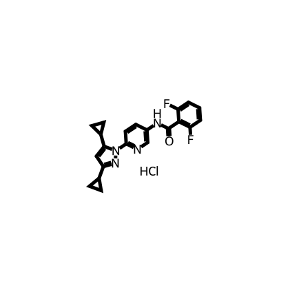 Cl.O=C(Nc1ccc(-n2nc(C3CC3)cc2C2CC2)nc1)c1c(F)cccc1F